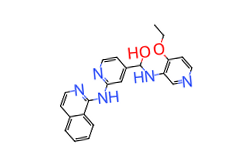 CCOc1ccncc1NC(O)c1ccnc(Nc2nccc3ccccc23)c1